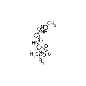 Cc1ccc(NC(=O)[C@@H]2CCCN(C(=O)Nc3ccc4c(c3)c(=O)n(CC3CC3)c(=O)n4C(C)C)C2)nc1